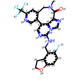 CN1Cc2cc(C(F)(F)F)ncc2-c2cnc(NCc3c(F)ccc4c3CCO4)n3cnc(c23)C1=O